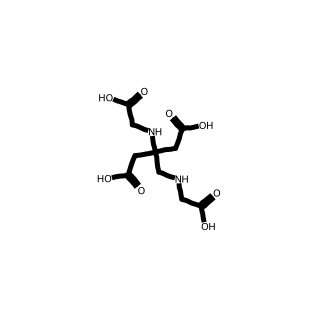 O=C(O)CNCC(CC(=O)O)(CC(=O)O)NCC(=O)O